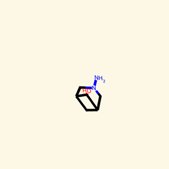 NN1CC2CC(C1)C2O